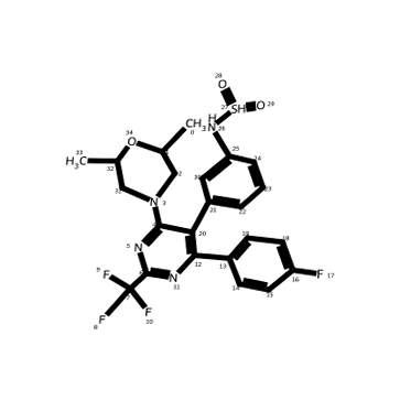 CC1CN(c2nc(C(F)(F)F)nc(-c3ccc(F)cc3)c2-c2cccc(N[SH](=O)=O)c2)CC(C)O1